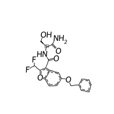 NC(=O)[C@H](CO)NC(=O)c1c(C(F)F)oc2ccc(OCc3ccccc3)cc12